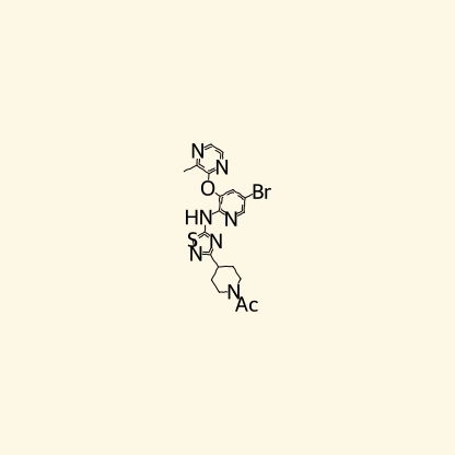 CC(=O)N1CCC(c2nsc(Nc3ncc(Br)cc3Oc3nccnc3C)n2)CC1